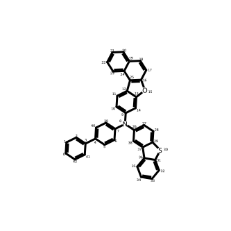 c1ccc(-c2ccc(N(c3ccc4c(c3)oc3ccc5ccccc5c34)c3ccc4sc5ccccc5c4c3)cc2)cc1